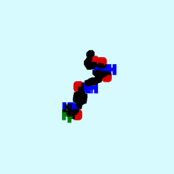 CC[C@@H]1CC[C@H](n2cc(CC#CCNC(=O)c3ccc(CNC(=O)C(F)(F)F)cc3)c(=O)[nH]c2=O)O1